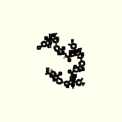 CNC(=O)[C@H](C)Cn1cnc2ccc(-c3cnc(OC)c(N(CNC(=O)[C@@H](C)Cn4cnc5ccc(-c6cnc(OC)c(N(CNC(=O)[C@H](C)Cn7cnc8ccc(-c9cnc(OC)c(NS(=O)(=O)c%10ccc(Cl)cc%10Cl)c9)cc8c7=O)S(=O)(=O)c7ccc(F)c(C)c7)c6)cc5c4=O)S(=O)(=O)c4ccc(F)c(C)c4)c3)cc2c1=O